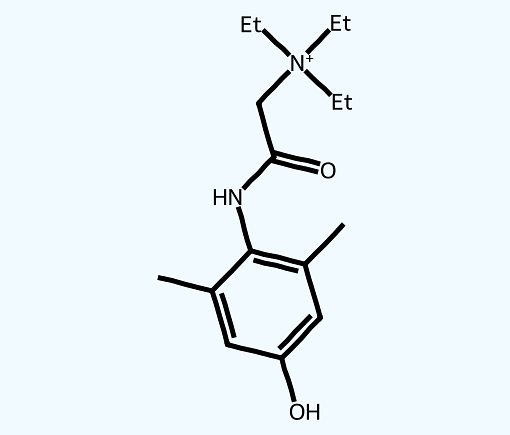 CC[N+](CC)(CC)CC(=O)Nc1c(C)cc(O)cc1C